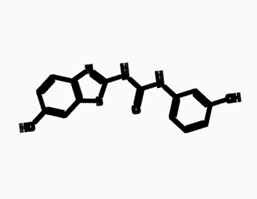 O=C(Nc1cccc(O)c1)Nc1nc2ccc(O)cc2s1